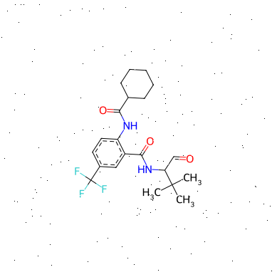 CC(C)(C)C(C=O)NC(=O)c1cc(C(F)(F)F)ccc1NC(=O)C1CCCCC1